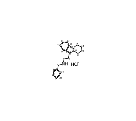 Cl.c1ccc(CNCCc2c3n(c4ccccc24)CCCC3)cc1